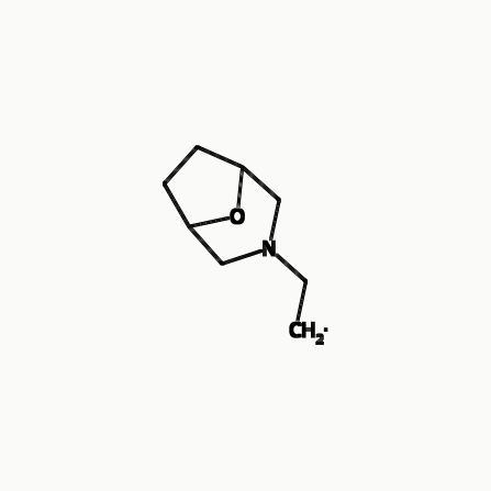 [CH2]CN1CC2CCC(C1)O2